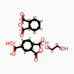 O=C(O)c1ccc2c(c1)C(=O)OC2=O.O=C1OC(=O)c2ccccc21.OCCO